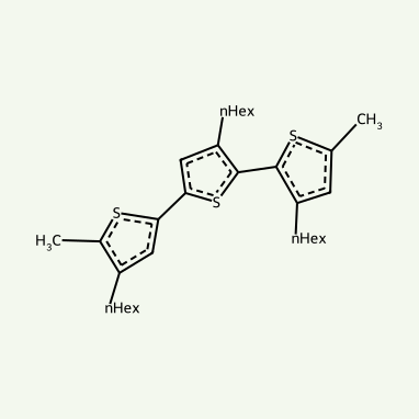 CCCCCCc1cc(-c2cc(CCCCCC)c(-c3sc(C)cc3CCCCCC)s2)sc1C